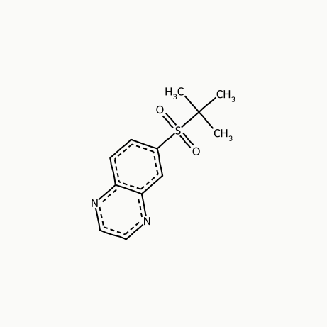 CC(C)(C)S(=O)(=O)c1ccc2nccnc2c1